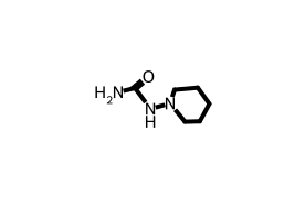 NC(=O)NN1CCCCC1